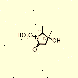 C[C@@H]1N(C(=O)O)C(=O)C[C@]1(C)O